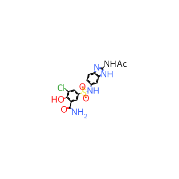 CC(=O)Nc1nc2ccc(NS(=O)(=O)c3cc(Cl)c(O)c(C(N)=O)c3)cc2[nH]1